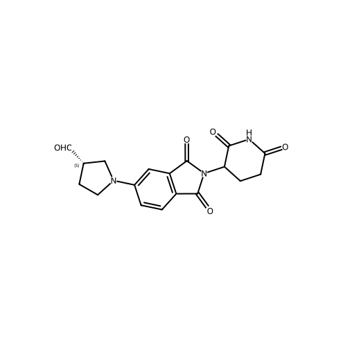 O=C[C@H]1CCN(c2ccc3c(c2)C(=O)N(C2CCC(=O)NC2=O)C3=O)C1